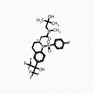 CN(CC(C)(C)O)C(=O)C[C@@H]1CCc2cc(C(O)(C(F)(F)F)C(F)(F)F)ccc2N1S(=O)(=O)c1ccc(F)cc1